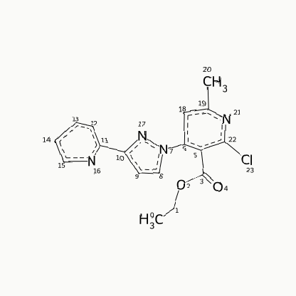 CCOC(=O)c1c(-n2ccc(-c3ccccn3)n2)cc(C)nc1Cl